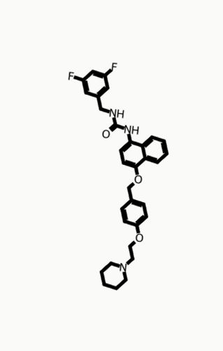 O=C(NCc1cc(F)cc(F)c1)Nc1ccc(OCc2ccc(OCCN3CCCCC3)cc2)c2ccccc12